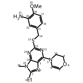 CCc1nc2c(N3C=COCC3)nc(SCc3ccc(OC)c(N)c3)nc2n1C